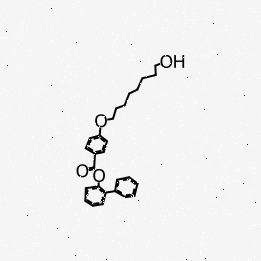 O=C(Oc1ccccc1-c1ccccc1)c1ccc(OCCCCCCCCO)cc1